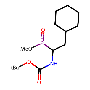 CO[PH](=O)C(CC1CCCCC1)NC(=O)OC(C)(C)C